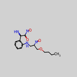 CCCCOCC(CNc1ccccc1C(=N)C(=O)N=O)N=O